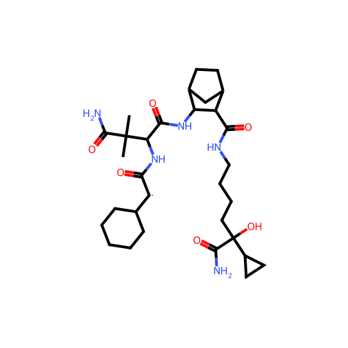 CC(C)(C(N)=O)C(NC(=O)[CH]C1CCCCC1)C(=O)NC1C2CCC(C2)C1C(=O)NCCCCC(O)(C(N)=O)C1CC1